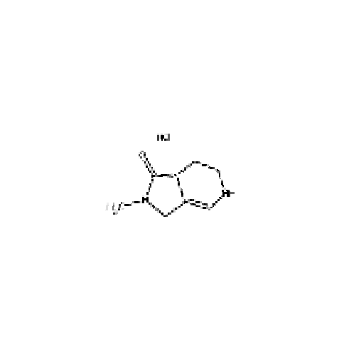 CN1CC2=CNCCN2C1=O.Cl